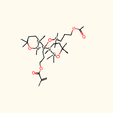 C=C(C)C(=O)OCCC[Si](O[Si](C)(C)CCCOC(C)=O)([Si]1(C)CCC(C)(C)O[Si]1(C)C)[Si]1(C)CCC(C)(C)O[Si]1(C)C